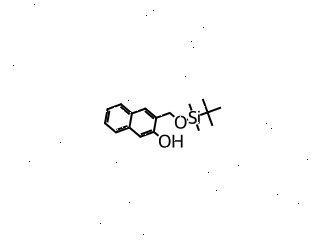 CC(C)(C)[Si](C)(C)OCc1cc2ccccc2cc1O